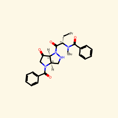 CC(C)C[C@@H](C(=O)N1NC[C@@H]2[C@H]1C(=O)CN2C(=O)c1ccccc1)N(C(=O)c1ccccc1)C(C)(C)C